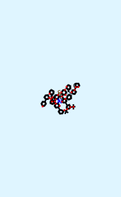 CC(C)(C)c1cc(-c2ccc3c(c2)N(c2cc(-c4ccccc4)ccc2-c2ccccc2)c2cc([Si](c4ccccc4)(c4ccccc4)c4cccc(-c5ccccc5)c4)cc4c2B3c2cc([Si](c3ccccc3)(c3ccccc3)c3cccc(-c5ccccc5)c3)ccc2S4)cc(C(C)(C)C)c1